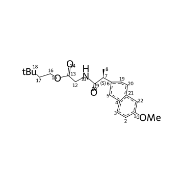 COc1ccc2cc([C@H](C)C(=O)NCC(=O)OCCC(C)(C)C)ccc2c1